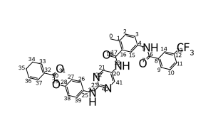 Cc1ccc(NC(=O)c2cccc(C(F)(F)F)c2)cc1C(=O)Nc1cnc(Nc2ccc(OC(=O)C3=CCCC=C3)cc2)nc1